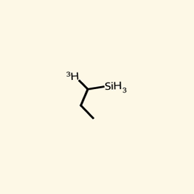 [3H]C([SiH3])CC